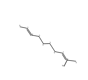 C/C=C/CCCCC=C(C)C